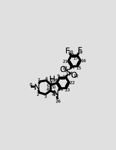 CN1CCC2[C@@H](CC1)c1cc(S(=O)(=O)c3ccc(F)c(F)c3)ccc1N2C